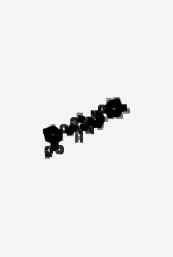 COC(=O)c1cccc(OCC(=O)Nc2nc3ccc(Oc4ccc(C)cc4)nc3n2C)c1